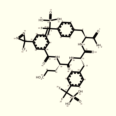 NC(=O)[C@H](Cc1ccc(C(F)(F)P(=O)(O)O)cc1)NC(=O)[C@H](Cc1ccc(C(F)(F)P(=O)(O)O)cc1)NC(=O)[C@H](CCC(=O)O)NC(=O)c1cc(Br)cc(C2(C(F)(F)F)N=N2)c1